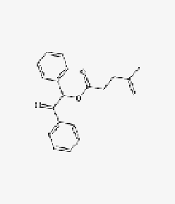 C=C(C)CCC(=O)OC(C(=O)c1ccccc1)c1ccccc1